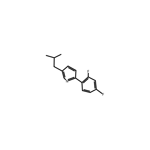 CC(C)Cc1ccc(-c2ccc(F)cc2F)nc1